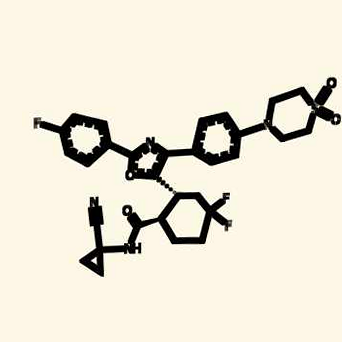 N#CC1(NC(=O)[C@@H]2CCC(F)(F)C[C@H]2c2oc(-c3ccc(F)cc3)nc2-c2ccc(N3CCS(=O)(=O)CC3)cc2)CC1